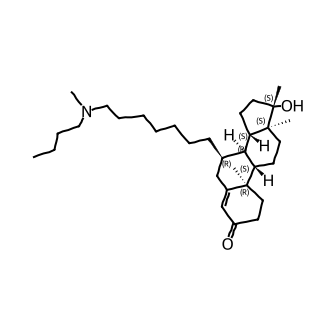 CCCCN(C)CCCCCCC[C@@H]1CC2=CC(=O)CC[C@]2(C)[C@H]2CC[C@@]3(C)[C@@H](CC[C@]3(C)O)[C@H]12